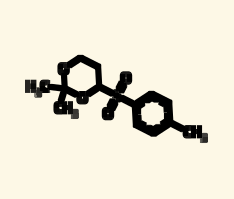 Cc1ccc(S(=O)(=O)C2CCOC(C)(C)O2)cc1